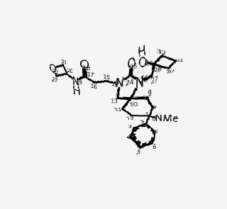 CNC1(c2ccccc2)CCC2(CC1)CN(CCC(=O)NC1COC1)C(=O)N2CC1(O)CCC1